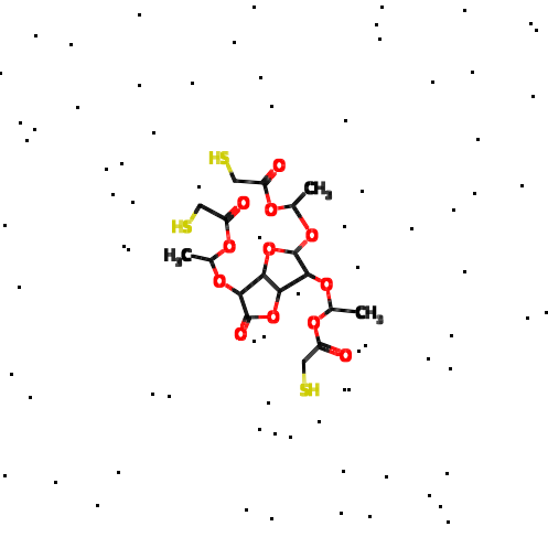 CC(OC(=O)CS)OC1OC2C(OC(C)OC(=O)CS)C(=O)OC2C1OC(C)OC(=O)CS